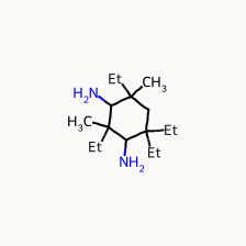 CCC1(C)CC(CC)(CC)C(N)C(C)(CC)C1N